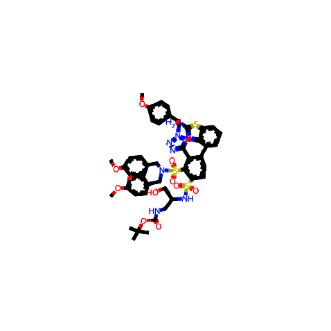 COc1ccc(CN(Cc2ccc(OC)cc2)S(=O)(=O)c2c(S(=O)(=O)NC(CO)CNC(=O)OC(C)(C)C)ccc(-c3cccc4sc(N)nc34)c2-c2nnn(Cc3ccc(OC)cc3)n2)cc1